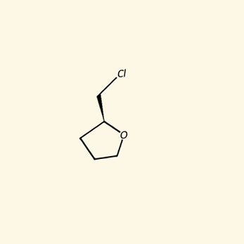 ClC[C@@H]1CCCO1